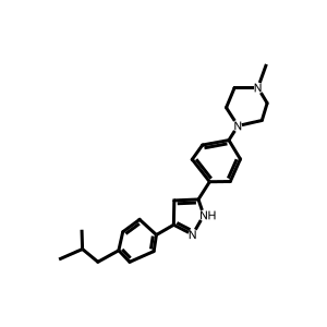 CC(C)Cc1ccc(-c2cc(-c3ccc(N4CCN(C)CC4)cc3)[nH]n2)cc1